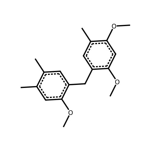 COc1cc(OC)c(Cc2cc(C)c(C)cc2OC)cc1C